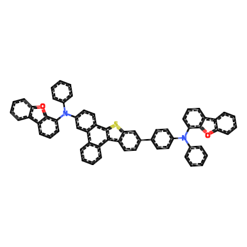 c1ccc(N(c2ccc(-c3ccc4c(c3)sc3c5ccc(N(c6ccccc6)c6cccc7c6oc6ccccc67)cc5c5ccccc5c43)cc2)c2cccc3c2oc2ccccc23)cc1